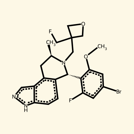 COc1cc(Br)cc(F)c1[C@@H]1c2ccc3[nH]ncc3c2C[C@@H](C)N1CC1(CF)COC1